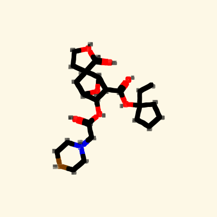 CCC1(OC(=O)C2C(OC(=O)CN3CCSCC3)C3CC4(CCOC4=O)C2O3)CCCC1